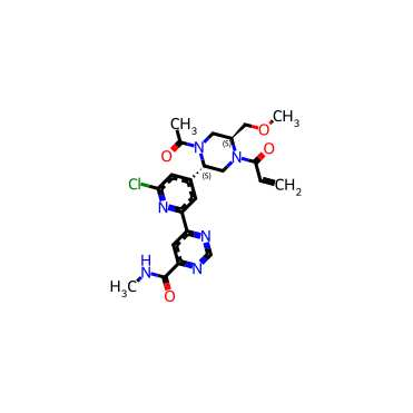 C=CC(=O)N1C[C@H](c2cc(Cl)nc(-c3cc(C(=O)NC)ncn3)c2)N(C(C)=O)C[C@H]1COC